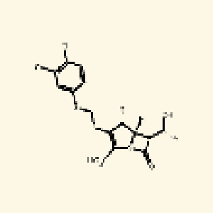 C[C@@H](O)[C@H]1C(=O)N2C(C(=O)O)=C(SCSc3ccc(Cl)c(Cl)c3)[C@H](C)[C@H]12